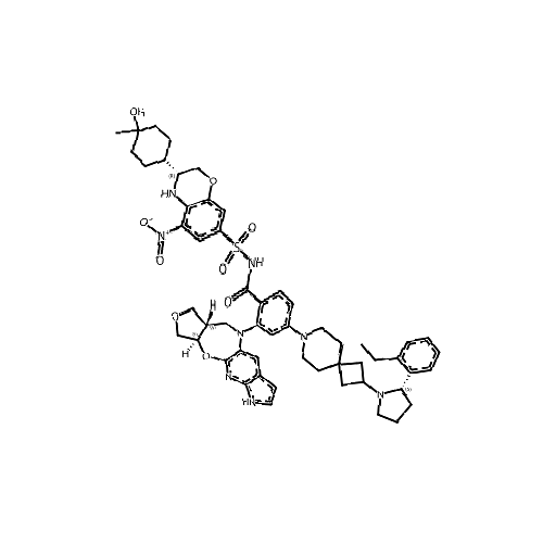 CCc1ccccc1[C@@H]1CCCN1C1CC2(CCN(c3ccc(C(=O)NS(=O)(=O)c4cc5c(c([N+](=O)[O-])c4)N[C@H](C4CCC(C)(O)CC4)CO5)c(N4C[C@H]5COC[C@@H]5Oc5nc6[nH]ccc6cc54)c3)CC2)C1